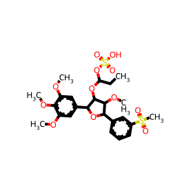 CCC(OC1C(c2cc(OC)c(OC)c(OC)c2)OC(c2cccc(S(C)(=O)=O)c2)C1OC)OS(=O)(=O)O